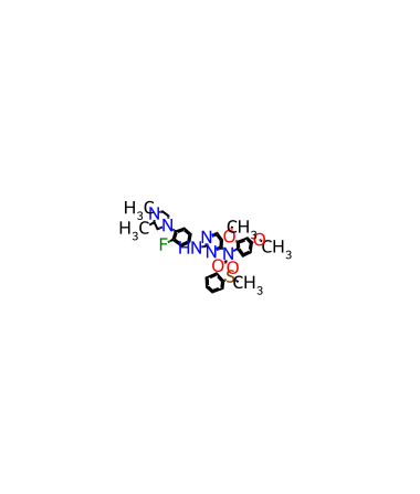 COc1ccc(N(C(=O)Oc2ccccc2SC)c2ccnc(Nc3ccc(N4CCN(C)C(C)C4)c(F)c3)n2)c(OC)c1